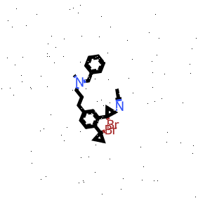 CC#N.CN(CCCc1ccc(C2(Br)CC2)c(C2(Br)CC2)c1)Cc1ccccc1